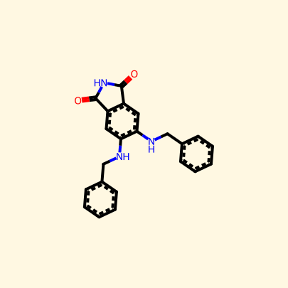 O=C1NC(=O)c2cc(NCc3ccccc3)c(NCc3ccccc3)cc21